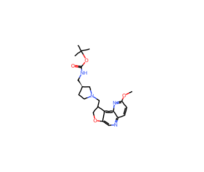 COc1ccc2ncc3c(c2n1)C(CN1CC[C@@H](CNC(=O)OC(C)(C)C)C1)CO3